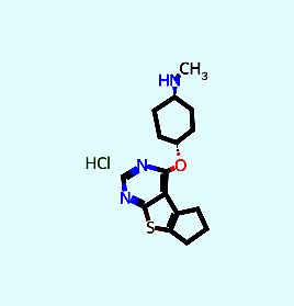 CN[C@H]1CC[C@H](Oc2ncnc3sc4c(c23)CCC4)CC1.Cl